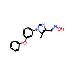 Cc1c(C=NO)ncn1-c1cccc(Oc2ccccc2)c1